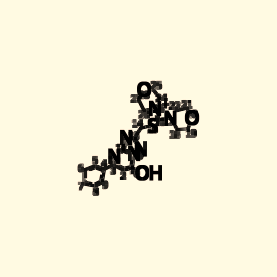 Oc1cc(-c2ccccc2)nc2nc(CSC(N3CCOCC3)=[N+]3CCOCC3)nn12